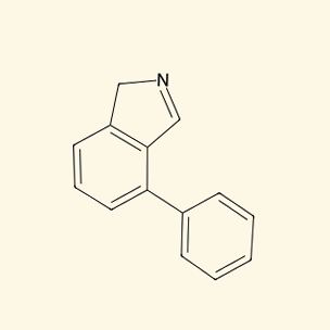 C1=NCc2cccc(-c3ccccc3)c21